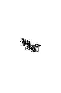 Cc1ccc(F)cc1-c1nc(NS(=O)(=O)c2ccnc(NC(=O)OC(C)(C)C)c2)ccc1Cl